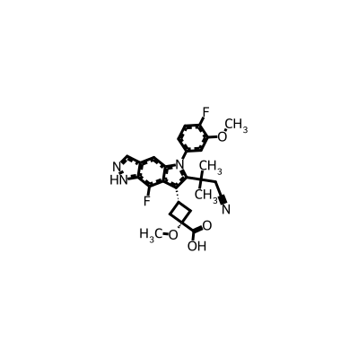 COc1cc(-n2c(C(C)(C)CC#N)c([C@H]3C[C@](OC)(C(=O)O)C3)c3c(F)c4[nH]ncc4cc32)ccc1F